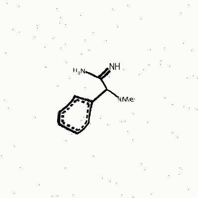 C[N]C(C(=N)N)c1ccccc1